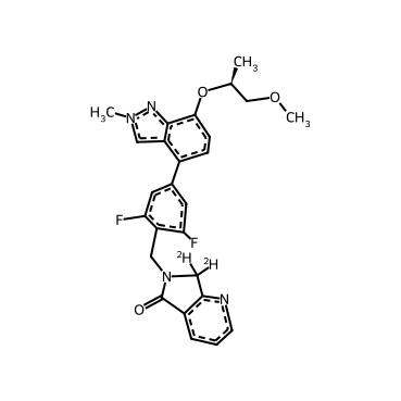 [2H]C1([2H])c2ncccc2C(=O)N1Cc1c(F)cc(-c2ccc(O[C@@H](C)COC)c3nn(C)cc23)cc1F